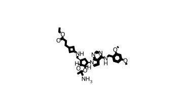 CCOC(=O)CCC1CC(NC[C@H]2C[C@@H](n3ccc4c(NCc5ccc(OC)cc5OC)ncnc43)[C@@H]3OC(C)(C)O[C@H]23)C1.N